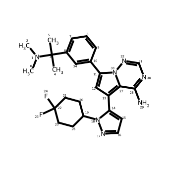 CN(C)C(C)(C)c1cccc(-c2cc(-c3ccnn3C3CCC(F)(F)CC3)c3c(N)ncnn23)c1